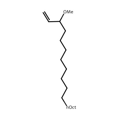 C=CC(CCCCCCCCCCCCCCCC)OC